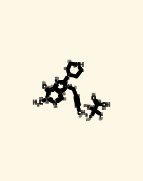 CC#CCn1c(N2CCNCC2)nc2c(=O)n(C)ncc21.O=C(O)C(F)(F)F